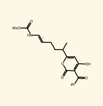 COC(=O)N/C=C/CCC(C)c1cc(O)c(C(=O)C(C)C)c(=O)o1